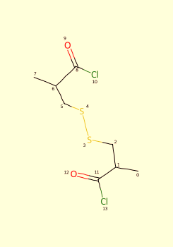 CC(CSSCC(C)C(=O)Cl)C(=O)Cl